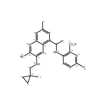 Cc1cc(C(C)Nc2ccc(Cl)nc2C(=O)O)c2nc(NCC3(F)CC3)c(C#N)nc2c1